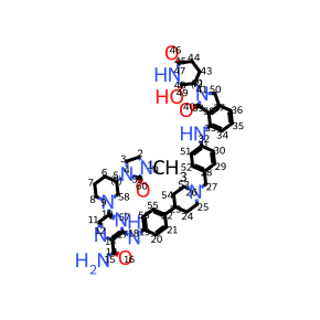 CN1CCN([C@@H]2CCCN(c3cnc(C(N)=O)c(Nc4ccc(C5CCN(Cc6ccc(Nc7cccc8c7C(=O)N([C@@H]7CCC(=O)NC7O)C8)cc6)CC5)cc4)n3)C2)C1=O